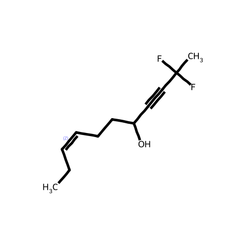 CC/C=C\CCC(O)C#CC(C)(F)F